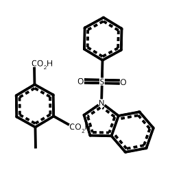 Cc1ccc(C(=O)O)cc1C(=O)O.O=S(=O)(c1ccccc1)n1ccc2ccccc21